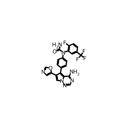 NC(=O)N(c1ccc(-c2c(-c3cnco3)cn3ncnc(N)c23)cc1)c1cc(C(F)(F)F)ccc1F